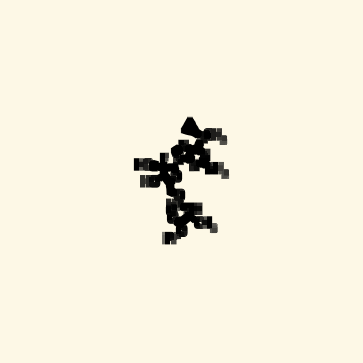 C#C[C@@]1(F)[C@H](O)C(CO[PH](=O)N[C@@H](C)C(=O)OC(C)C)O[C@H]1n1cnc2c(N(C)C3CC3)nc(N)nc21